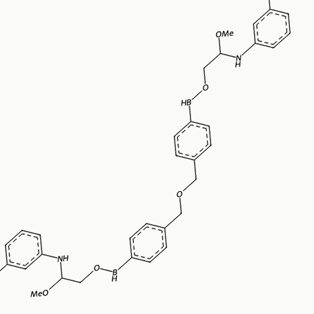 COC(COBc1ccc(COCc2ccc(BOCC(Nc3cccc(F)c3)OC)cc2)cc1)Nc1cccc(F)c1